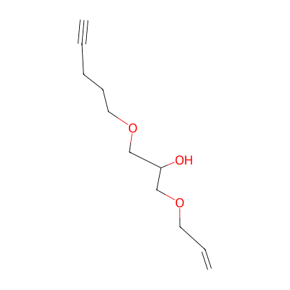 C#CCCCOCC(O)COCC=C